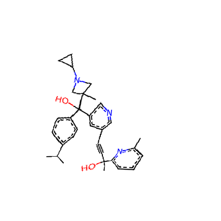 Cc1cccc(C(C)(O)C#Cc2cncc(C(O)(c3ccc(C(C)C)cc3)C3(C)CN(C4CC4)C3)c2)n1